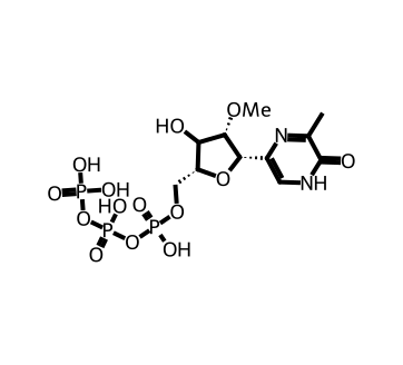 CO[C@H]1C(O)[C@@H](COP(=O)(O)OP(=O)(O)OP(=O)(O)O)O[C@H]1c1c[nH]c(=O)c(C)n1